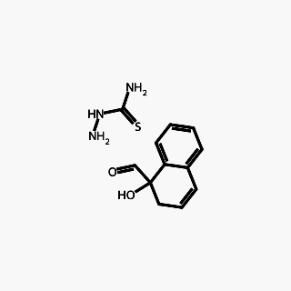 NNC(N)=S.O=CC1(O)CC=Cc2ccccc21